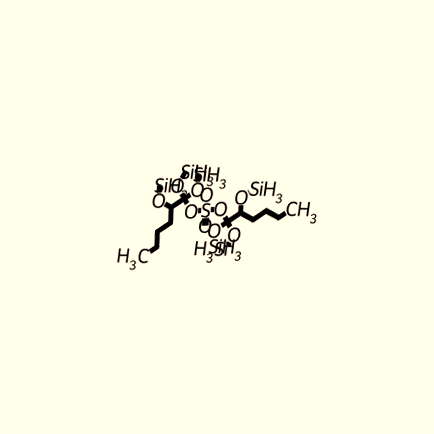 CCCCC(O[SiH3])C(O[SiH3])(O[SiH3])OS(=O)(=O)OC(O[SiH3])(O[SiH3])C(CCCC)O[SiH3]